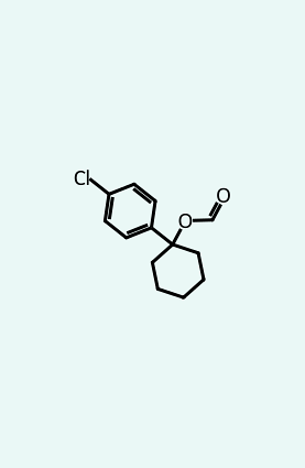 O=COC1(c2ccc(Cl)cc2)CCCCC1